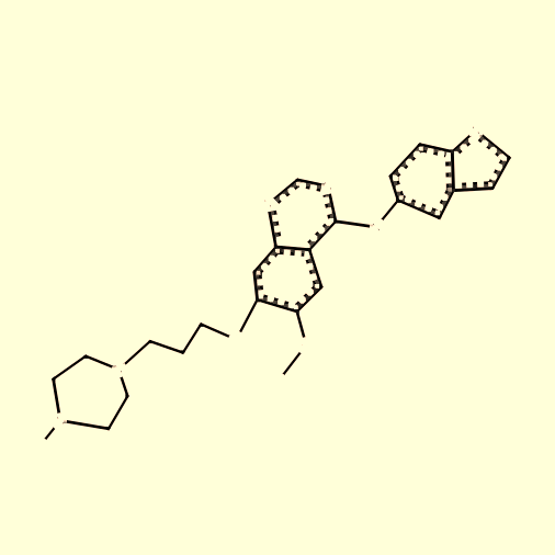 COc1cc2c(Nc3ccc4[nH]ccc4c3)ncnc2cc1OCCCN1CCN(C)CC1